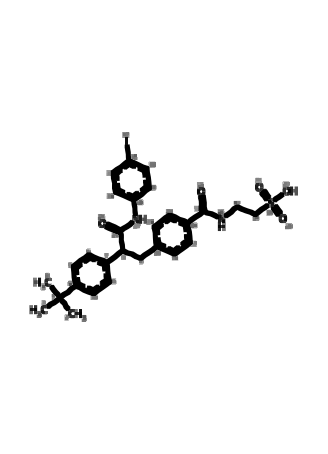 CC(C)(C)c1ccc(C(Cc2ccc(C(=O)NCCS(=O)(=O)O)cc2)C(=O)Nc2ccc(I)cc2)cc1